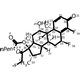 CCCCCC(=O)O[C@]1(C(=O)CF)[C@@H](C)C[C@H]2[C@@H]3C[C@H](F)C4=C(F)C(=O)C=C[C@]4(C)[C@@]3(F)[C@@H](O)C[C@@]21C